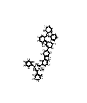 C1=CC2c3ccccc3N(c3cccc4oc5c(-c6ccc7c(c6)oc6ccc(C8N=C(c9ccccc9)N=C(c9ccccc9)N8)cc67)cccc5c34)C2C=C1